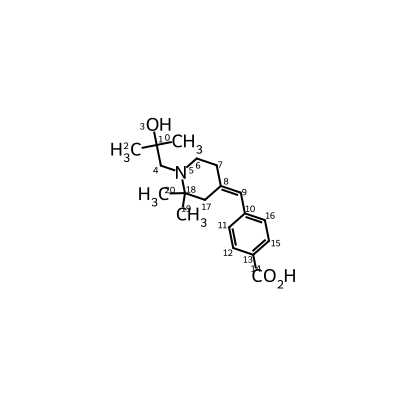 CC(C)(O)CN1CCC(=Cc2ccc(C(=O)O)cc2)CC1(C)C